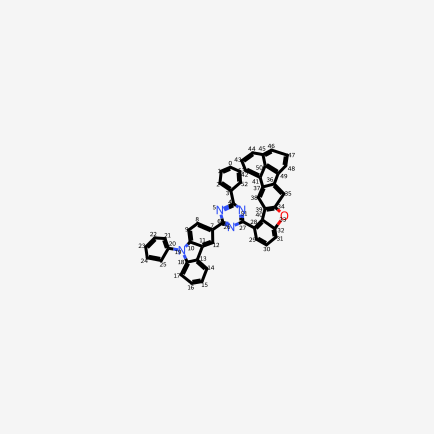 c1ccc(-c2nc(-c3ccc4c(c3)c3ccccc3n4-c3ccccc3)nc(-c3cccc4oc5cc6c(cc5c34)-c3cccc4cccc-6c34)n2)cc1